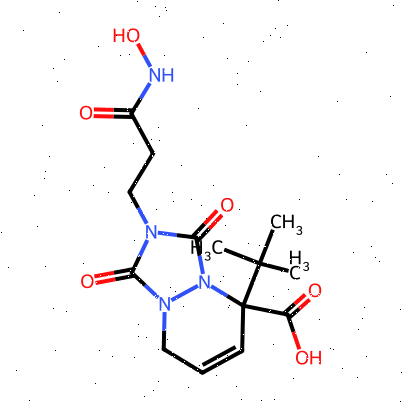 CC(C)(C)C1(C(=O)O)C=CCn2c(=O)n(CCC(=O)NO)c(=O)n21